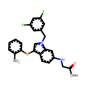 COC(=O)CNc1ccc2c(Sc3ccccc3[N+](=O)[O-])cn(Cc3cc(F)cc(F)c3)c2c1